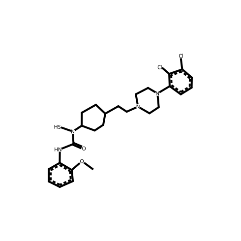 COc1ccccc1NC(=O)N(S)C1CCC(CCN2CCN(c3cccc(Cl)c3Cl)CC2)CC1